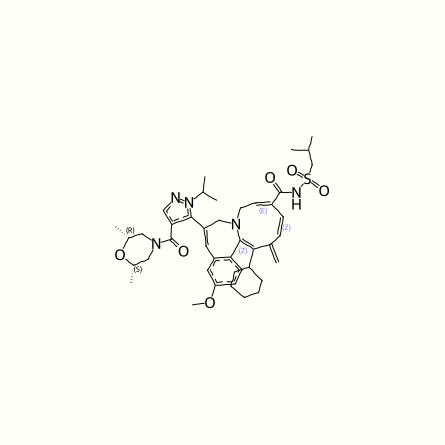 C=C1/C=C\C(C(=O)NS(=O)(=O)CC(C)C)=C/CN2CC(c3c(C(=O)N4C[C@@H](C)O[C@@H](C)C4)cnn3C(C)C)=Cc3cc(OC)ccc3/C2=C/1C1CCCCC1